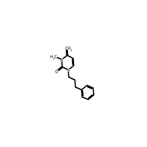 C=C1C=CN(CCCc2ccccc2)C(=O)N1C